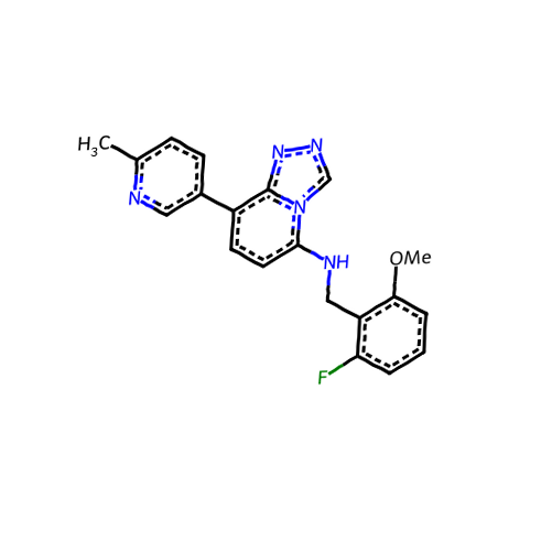 COc1cccc(F)c1CNc1ccc(-c2ccc(C)nc2)c2nncn12